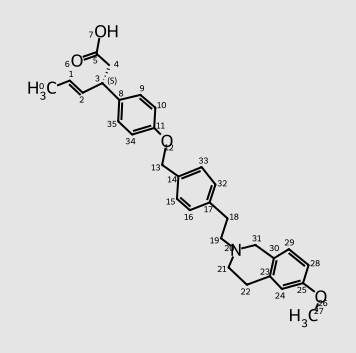 CC=C[C@H](CC(=O)O)c1ccc(OCc2ccc(CCN3CCc4cc(OC)ccc4C3)cc2)cc1